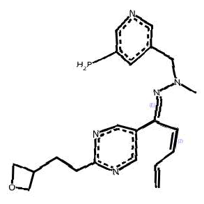 C=C/C=C\C(=N/N(C)Cc1cncc(P)c1)c1cnc(CCC2COC2)nc1